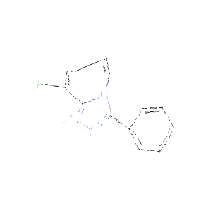 Clc1cccn2c(-c3ccccc3)nnc12